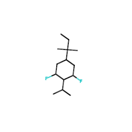 CCC(C)(C)C1CC(F)C(C(C)C)C(F)C1